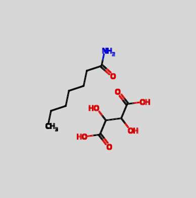 CCCCCCC(N)=O.O=C(O)C(O)C(O)C(=O)O